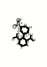 CC(C)c1cccc(C(C)C)c1-c1cccc([N+](=O)[O-])c1